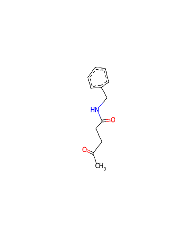 CC(=O)CCC(=O)NCc1ccccc1